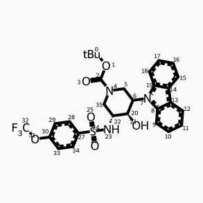 CC(C)(C)OC(=O)N1CC(n2c3ccccc3c3ccccc32)[C@@H](O)[C@H](NS(=O)(=O)c2ccc(OC(F)(F)F)cc2)C1